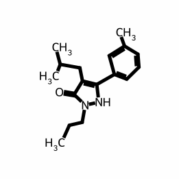 CCCn1[nH]c(-c2cccc(C)c2)c(CC(C)C)c1=O